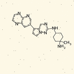 CC1(N)CCC(Nc2ncc3c(-c4cnc5nccnc5c4)ccn3n2)CC1